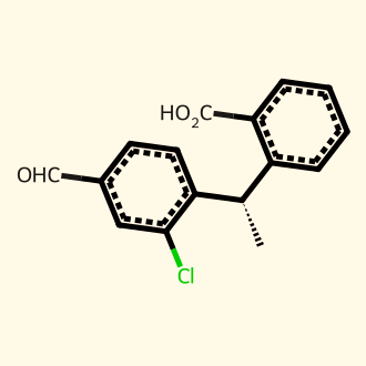 C[C@H](c1ccc(C=O)cc1Cl)c1ccccc1C(=O)O